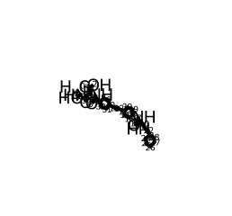 C[C@@H](O)[C@H](NC(=O)c1ccc(C#Cc2ccc(NC(=O)CNCC3CCCCC3)cc2)cc1)C(=O)NO